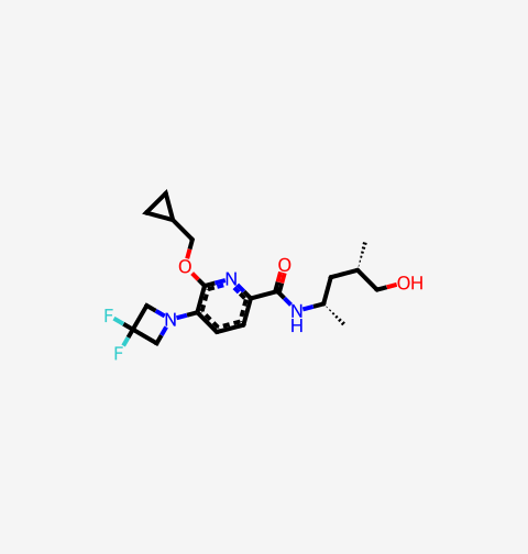 C[C@H](CO)C[C@H](C)NC(=O)c1ccc(N2CC(F)(F)C2)c(OCC2CC2)n1